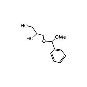 COC(OCC(O)CO)c1ccccc1